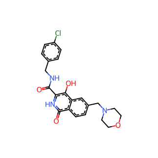 O=C(NCc1ccc(Cl)cc1)c1[nH]c(=O)c2ccc(CN3CCOCC3)cc2c1O